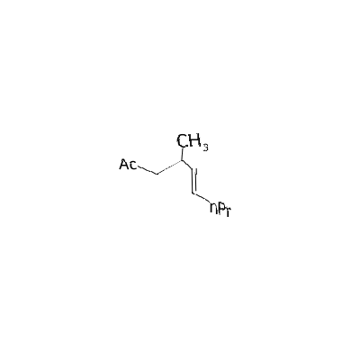 CCCC=CC(C)CC(C)=O